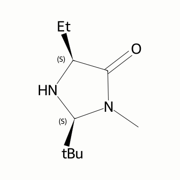 CC[C@@H]1N[C@H](C(C)(C)C)N(C)C1=O